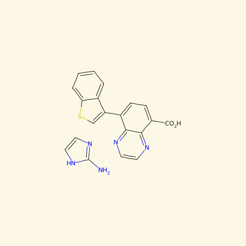 Nc1ncc[nH]1.O=C(O)c1ccc(-c2csc3ccccc23)c2nccnc12